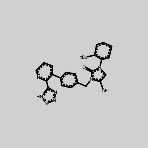 CCCc1cn(-c2ccccc2C(C)(C)C)c(=O)n1Cc1ccc(-c2cccnc2-c2nnn[nH]2)cc1